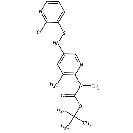 Cc1cc(NSc2cccnc2Cl)cnc1N(C)C(=O)OC(C)(C)C